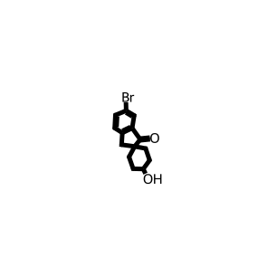 O=C1c2cc(Br)ccc2CC12CCC(O)CC2